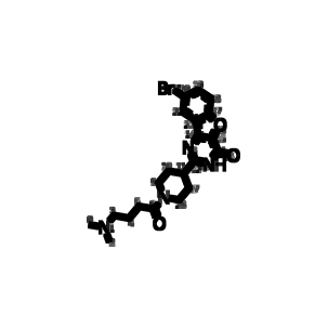 CN(C)CCCC(=O)N1CCC(c2nc3c(oc4ccc(Br)cc43)c(=O)[nH]2)CC1